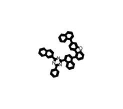 C1=CC2C=CC(c3nc(-c4ccccc4)nc(-c4ccc(-c5cccc6oc7cc(-c8cccc9ccccc89)ccc7c56)c5ccccc45)n3)=CC2C=C1